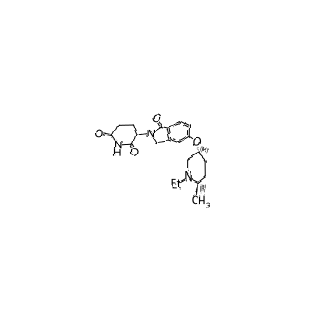 CCN1C[C@H](Oc2ccc3c(c2)CN(C2CCC(=O)NC2=O)C3=O)CC[C@H]1C